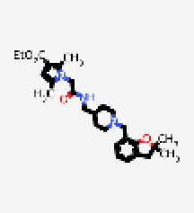 CCOC(=O)c1cc(C)n(CC(=O)NCC2CCN(Cc3cccc4c3OC(C)(C)C4)CC2)c1C